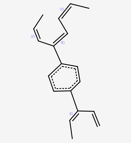 C=C/C(=C\C)c1ccc(C(/C=C\C)=C/C=C\C)cc1